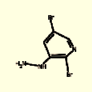 NNc1cc(Br)cnc1Br